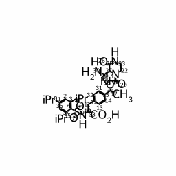 CC(C)c1cc(C(C)C)c(S(=O)(=O)N[C@@H](Cc2ccc(C(C)OC(=O)N3CCNC(O)C3C(=N)N)cc2)C(=O)O)c(C(C)C)c1